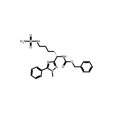 Cn1nc([C@H](CCCCNS(N)(=O)=O)NC(=O)OCc2ccccc2)nc1-c1ccccc1